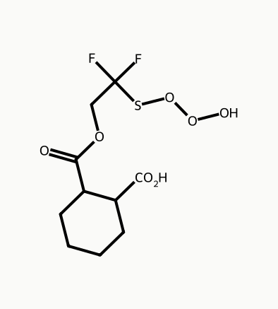 O=C(O)C1CCCCC1C(=O)OCC(F)(F)SOOO